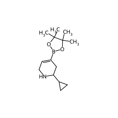 CC1(C)OB(C2=CCNC(C3CC3)C2)OC1(C)C